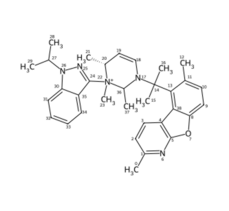 Cc1ccc2c(n1)oc1ccc(C)c(C(C)(C)N3C=C[C@@H](C)[N+](C)(c4nn(C(C)C)c5ccccc45)C3C)c12